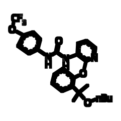 CCCCOC(C)(C)c1ccccc1Oc1ncccc1NC(=O)Nc1ccc(OC(F)(F)F)cc1